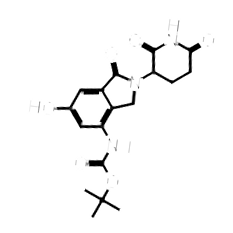 CC(C)(C)OC(=O)Nc1cc(O)cc2c1CN(C1CCC(=O)NC1=O)C2=O